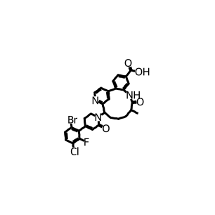 CC1CCCC(N2CCC(c3c(Br)ccc(Cl)c3F)=CC2=O)c2cc(ccn2)-c2ccc(C(=O)O)cc2NC1=O